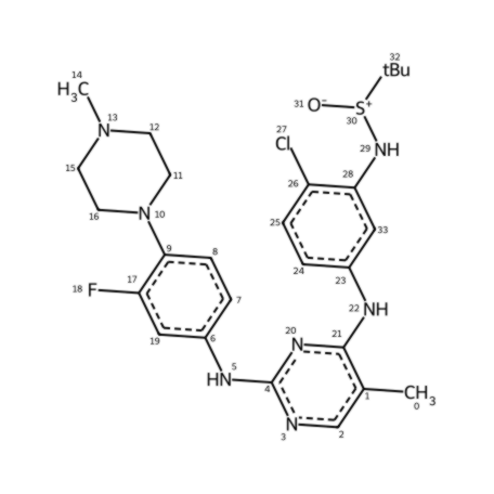 Cc1cnc(Nc2ccc(N3CCN(C)CC3)c(F)c2)nc1Nc1ccc(Cl)c(N[S+]([O-])C(C)(C)C)c1